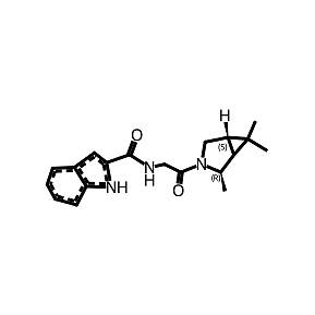 C[C@@H]1C2[C@H](CN1C(=O)CNC(=O)c1cc3ccccc3[nH]1)C2(C)C